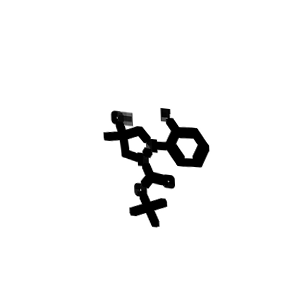 CC1(O)CN(C(=O)OC(C)(C)C)N(c2ccccc2F)C1